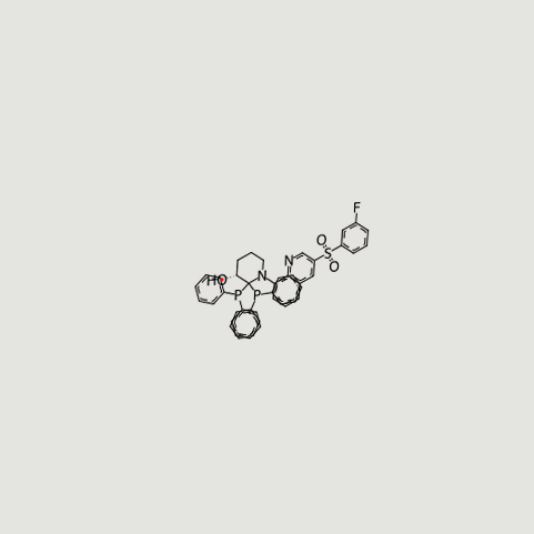 O=S(=O)(c1cccc(F)c1)c1cnc2c(N3CCC[C@@H](O)C3(P(c3ccccc3)c3ccccc3)P(c3ccccc3)c3ccccc3)cccc2c1